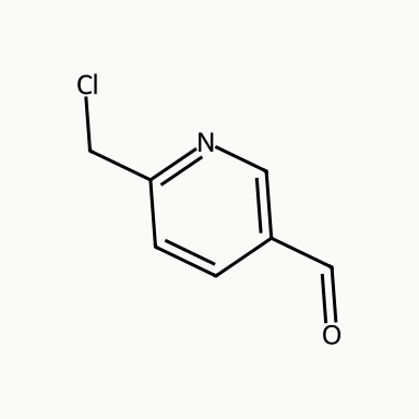 O=Cc1ccc(CCl)nc1